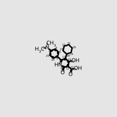 CN(C)c1ccc(-c2[nH]c(=O)c(C(=O)O)c(O)c2C2CCCCC2)cc1